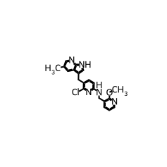 COc1ncccc1CNc1ccc(Cc2c[nH]c3ncc(C)cc23)c(Cl)n1